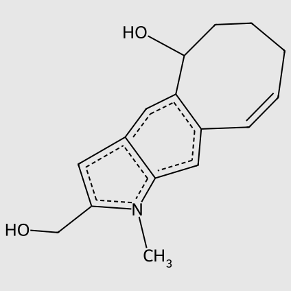 Cn1c(CO)cc2cc3c(cc21)C=CCCCC3O